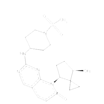 CS(=O)(=O)N1CCC(Nc2ncc3ccc(=O)n([C@H]4CC[C@@H](O)C45CC5)c3n2)CC1